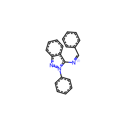 C(=N/c1c2ccccc2nn1-c1ccccc1)/c1ccccc1